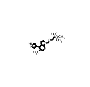 Cc1cnc2c(ccn2COCC[Si](C)(C)C)c1-c1cn[nH]c1